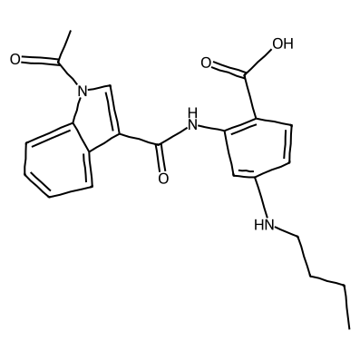 CCCCNc1ccc(C(=O)O)c(NC(=O)c2cn(C(C)=O)c3ccccc23)c1